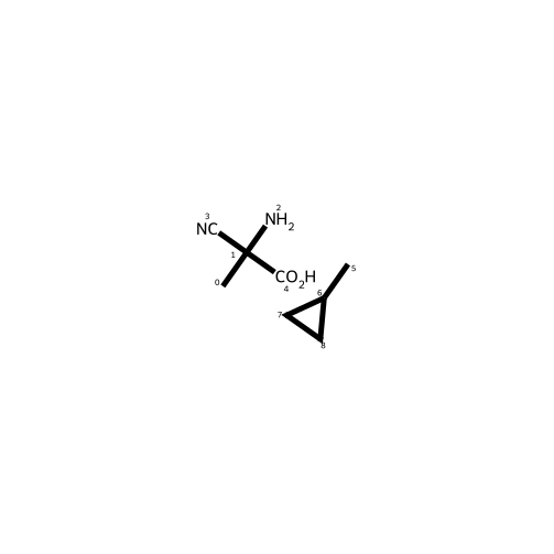 CC(N)(C#N)C(=O)O.CC1CC1